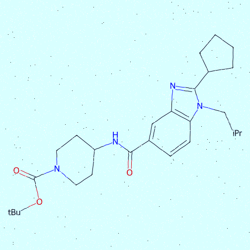 CC(C)Cn1c(C2CCCC2)nc2cc(C(=O)NC3CCN(C(=O)OC(C)(C)C)CC3)ccc21